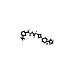 O=C(CNC(=O)c1cccc(C(F)(F)F)c1)NC1CN([C@H]2CC[C@](O)(c3cncs3)CC2)C1